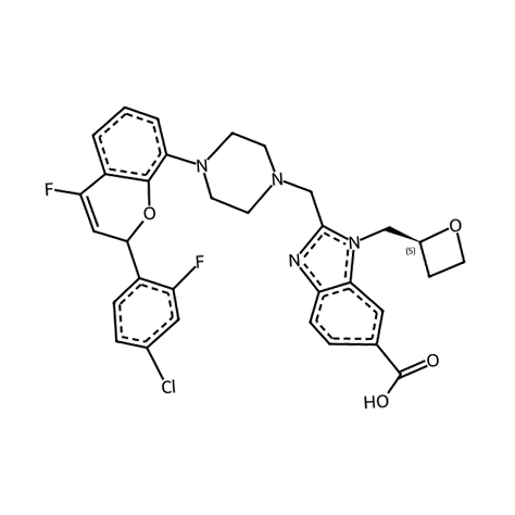 O=C(O)c1ccc2nc(CN3CCN(c4cccc5c4OC(c4ccc(Cl)cc4F)C=C5F)CC3)n(C[C@@H]3CCO3)c2c1